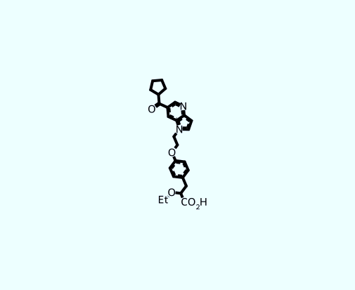 CCOC(Cc1ccc(OCCn2ccc3ncc(C(=O)C4CCCC4)cc32)cc1)C(=O)O